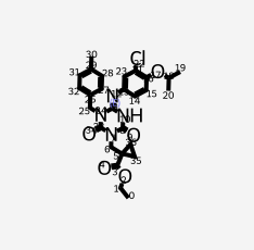 CCOC(=O)C1(Cn2c(=O)[nH]/c(=N\c3ccc(OC(C)C)c(Cl)c3)n(Cc3ccc(C)cc3)c2=O)CC1